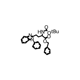 CC(C)(C)OC(=O)NC(CCc1nc2ccccc2n1-c1ccccc1)C(=O)OCc1ccccc1